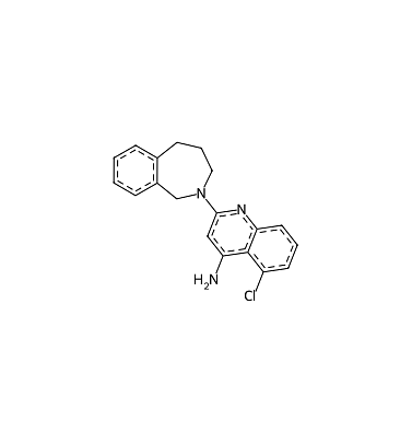 Nc1cc(N2CCCc3ccccc3C2)nc2cccc(Cl)c12